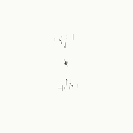 O=C(O)N1CCC(CSSCC2CCN(C(=O)O)CC2)CC1